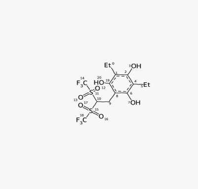 CCc1c(O)c(CC)c(O)c(CC(S(=O)(=O)C(F)(F)F)S(=O)(=O)C(F)(F)F)c1O